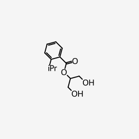 CC(C)c1ccccc1C(=O)OC(CO)CO